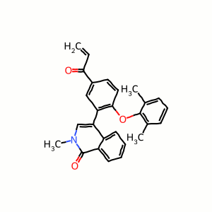 C=CC(=O)c1ccc(Oc2c(C)cccc2C)c(-c2cn(C)c(=O)c3ccccc23)c1